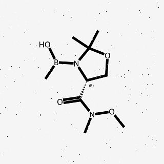 CON(C)C(=O)[C@H]1COC(C)(C)N1B(C)O